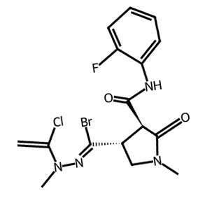 C=C(Cl)N(C)/N=C(\Br)[C@H]1CN(C)C(=O)[C@@H]1C(=O)Nc1ccccc1F